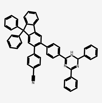 N#Cc1ccc(-c2cc3c(cc2-c2ccc(C4=NC(c5ccccc5)=NC(c5ccccc5)N4)cc2)-c2ccccc2C3(c2ccccc2)c2ccccc2)cc1